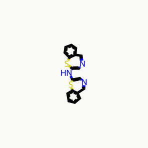 C1=NC=C(NC2=CN=Cc3ccccc3S2)Sc2ccccc21